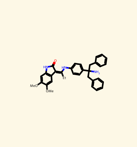 CC/C(Nc1ccc(C(N)(Cc2ccccc2)Cc2ccccc2)cc1)=C1/C(=O)Nc2cc(OC)c(OC)cc21